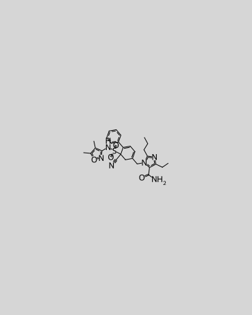 CCCc1nc(CC)c(C(N)=O)n1CC1=CC=C(c2ccccc2)C(C#N)(S(=O)(=O)Nc2noc(C)c2C)C1